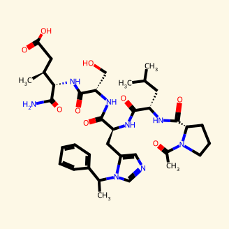 CC(=O)N1CCC[C@H]1C(=O)N[C@@H](CC(C)C)C(=O)N[C@@H](Cc1cncn1C(C)c1ccccc1)C(=O)N[C@@H](CO)C(=O)N[C@H](C(N)=O)[C@@H](C)CC(=O)O